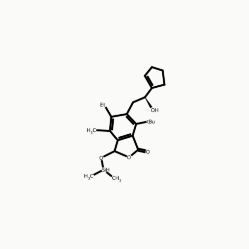 CCc1c(C)c2c(c(C(C)(C)C)c1C[C@H](O)C1=CCCC1)C(=O)OC2O[SiH](C)C